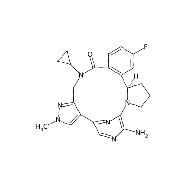 Cn1cc2c(n1)CN(C1CC1)C(=O)c1ccc(F)cc1[C@H]1CCCN1c1nc-2cnc1N